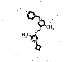 Cc1nn(C2CCC2)cc1OC[C@@H]1CN(Cc2ccccc2)C[C@H]1C